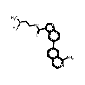 CN(C)CCNC(=O)c1csc2ccc(-c3ccc4ccnc(N)c4c3)cc12